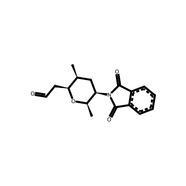 C[C@H]1C[C@@H](N2C(=O)c3ccccc3C2=O)[C@@H](C)O[C@H]1CC=O